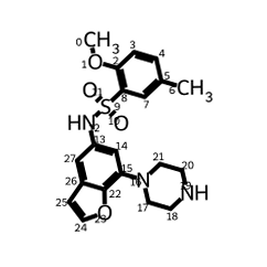 COc1ccc(C)cc1S(=O)(=O)Nc1cc(N2CCNCC2)c2occc2c1